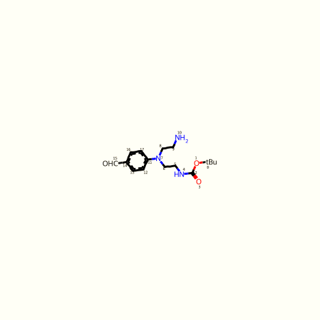 CC(C)(C)OC(=O)NCCN(CCN)c1ccc(C=O)cc1